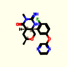 C[C@H]1C[C@H]2C(=O)N(C)C(=N)N[C@@]2(c2cc(Oc3cnccn3)ccc2F)CO1